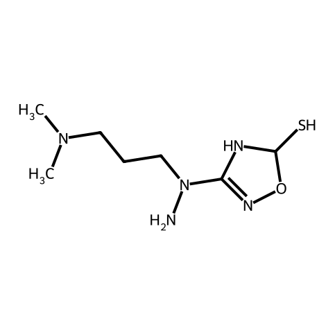 CN(C)CCCN(N)C1=NOC(S)N1